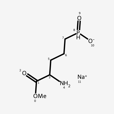 COC(=O)C(N)CCC[PH](=O)[O-].[Na+]